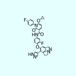 O=C(Nc1ccc(Oc2cc3cnn4c3c(c2-c2cn[nH]c2)CC4)c(F)c1)c1ccc(OC2CC2)n(-c2ccc(F)cc2)c1=O